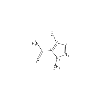 Cn1ncc(Cl)c1C(N)=O